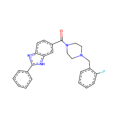 O=C(c1ccc2nc(-c3ccccc3)[nH]c2c1)N1CCN(Cc2ccccc2F)CC1